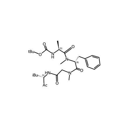 CCC(C)[C@H](NC(=O)CN(C)C(=O)[C@@H](Cc1ccccc1)N(C)C(=O)[C@H](C)NC(=O)OC(C)(C)C)C(C)=O